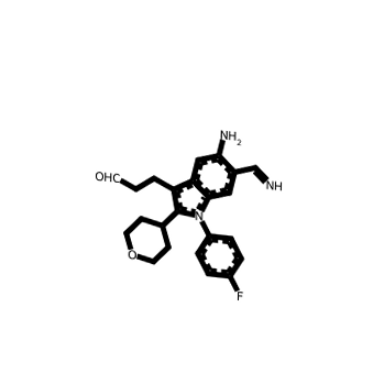 N=Cc1cc2c(cc1N)c(CCC=O)c(C1CCOCC1)n2-c1ccc(F)cc1